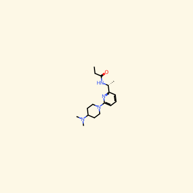 CCC(=O)N[C@H](C)c1cccc(N2CCC(N(C)C)CC2)n1